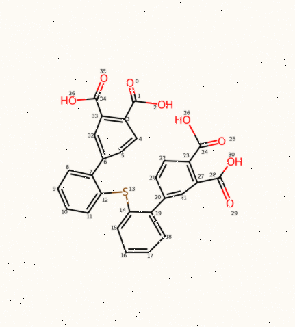 O=C(O)c1ccc(-c2ccccc2Sc2ccccc2-c2ccc(C(=O)O)c(C(=O)O)c2)cc1C(=O)O